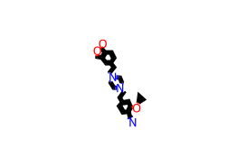 N#Cc1ccc(CCN2CCN(CCc3ccc4c(c3)COC4=O)CC2)cc1OC1CC1